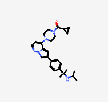 CC(C)NC(C)(C)c1ccc(-c2cc3c(N4CCN(C(=O)C5CC5)CC4)ccnn3c2)cc1